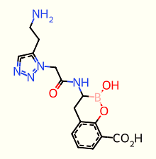 NCCc1cnnn1CC(=O)NC1Cc2cccc(C(=O)O)c2OB1O